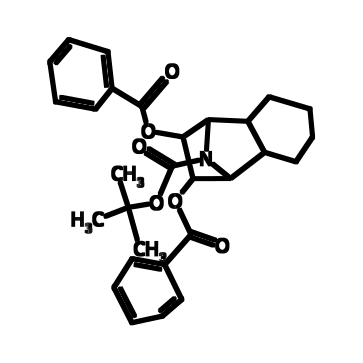 CC(C)(C)OC(=O)N1C2C3CCCCC3C1C(OC(=O)c1ccccc1)C2OC(=O)c1ccccc1